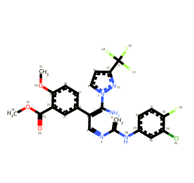 C=C(/N=C\C(=C(/N)n1ccc(C(F)(F)F)n1)c1ccc(OC)c(C(=O)OC)c1)Nc1ccc(F)c(Cl)c1